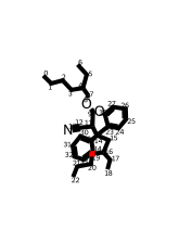 CCCCC(CC)COC(=O)C(C#N)C(CC(CC)CCCC)(c1ccccc1)c1ccccc1